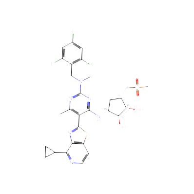 Cc1nc(N(C)Cc2c(F)cc(F)cc2F)nc(N[C@@H]2C[C@H](CS(C)(=O)=O)[C@@H](O)[C@H]2O)c1-c1nc2c(C3CC3)nccc2s1